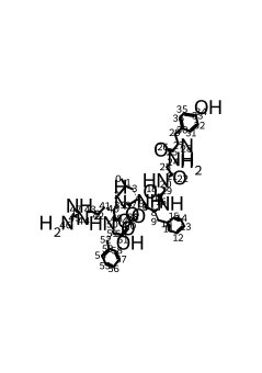 CC(C)C[C@H](NC(=O)[C@H](Cc1ccccc1)NC(=O)CNC(=O)CNC(=O)[C@@H](N)Cc1ccc(O)cc1)C(=O)N[C@@H](CCCN=C(N)N)C(=O)N[C@@H](Cc1ccccc1)C(=O)O